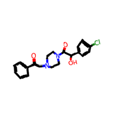 O=C(CN1CCN(C(=O)C(O)c2ccc(Cl)cc2)CC1)c1ccccc1